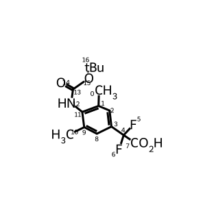 Cc1cc(C(F)(F)C(=O)O)cc(C)c1NC(=O)OC(C)(C)C